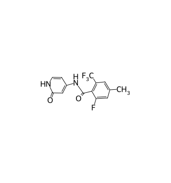 Cc1cc(F)c(C(=O)Nc2cc[nH]c(=O)c2)c(C(F)(F)F)c1